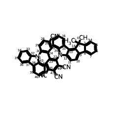 CC1(C)c2ccccc2-c2ccc3c(c21)c1ccccc1n3-c1c(-c2cc(C#N)ccc2-n2c3ccccc3c3ccccc32)cc(C#N)c(C#N)c1C#N